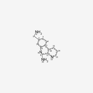 NCc1ccc2c(c1)nc(N)c1ncccc12